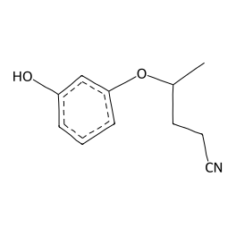 CC(CCC#N)Oc1cccc(O)c1